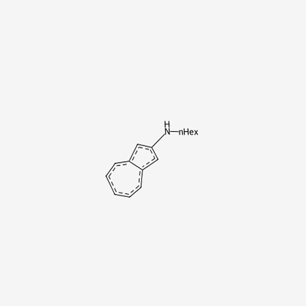 CCCCCCNc1cc2cccccc-2c1